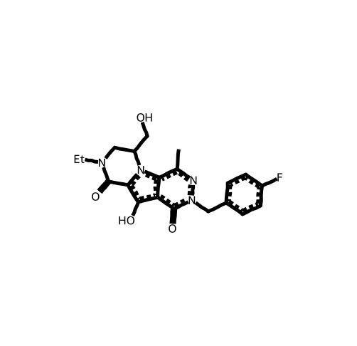 CCN1CC(CO)n2c(c(O)c3c(=O)n(Cc4ccc(F)cc4)nc(C)c32)C1=O